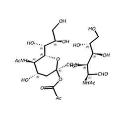 CC(=O)N[C@H](C=O)[C@@H](O)[C@H](O)[C@H](O)CO.CC(=O)N[C@H]1[C@H]([C@H](O)[C@H](O)CO)O[C@](OC(=O)C(C)=O)(C(=O)O)C[C@@H]1O